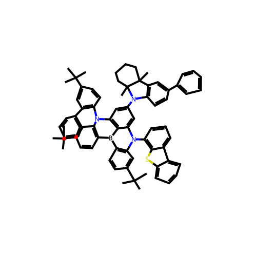 CC(C)(C)c1ccc(N2c3cc(C(C)(C)C)ccc3B3c4ccc(C(C)(C)C)cc4N(c4cccc5c4sc4ccccc45)c4cc(N5c6ccc(-c7ccccc7)cc6C6(C)CCCCC56C)cc2c43)c(-c2ccccc2)c1